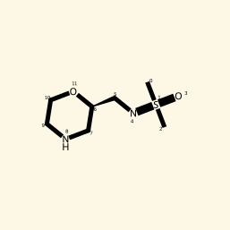 CS(C)(=O)=NC[C@H]1CNCCO1